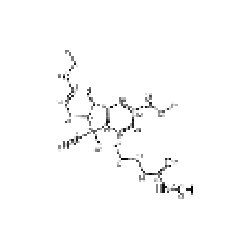 CCOc1ccc(C(C#N)(CCCCCC(=O)NO)c2ccc(OCC)cc2)cc1